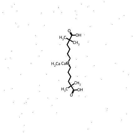 CC(C)(CCCCOCCCCC(C)(C)C(=O)O)C(=O)O.[CaH2].[CaH2]